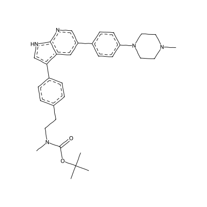 CN1CCN(c2ccc(-c3cnc4[nH]cc(-c5ccc(CCN(C)C(=O)OC(C)(C)C)cc5)c4c3)cc2)CC1